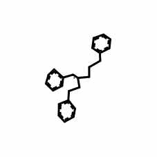 c1ccc(CCC[C](CCc2ccccc2)Cc2ccccc2)cc1